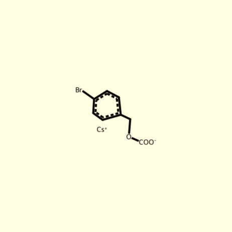 O=C([O-])OCc1ccc(Br)cc1.[Cs+]